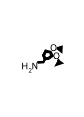 NCCc1ccc(OC2CC2)c(OC2CC2)c1